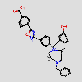 C[C@@H]1CN([C@H](c2ccc(-c3noc(-c4ccc(C(=O)O)cc4)n3)cc2)c2cccc(O)c2)[C@@H](C)CN1Cc1ccccc1